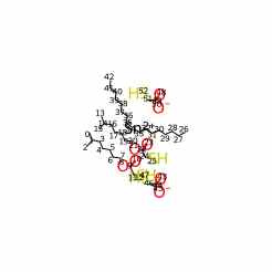 CC(C)CCCCCOC(=O)CS.CC(C)CCCCCOC(=O)CS.CCCCCCC[CH2][Sn+2][CH2]CCCCCCC.O=C([O-])CS.O=C([O-])CS